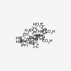 C=CC[C@H](NC(=O)[C@H](CC(C)C)NC(=O)C(NC(=O)[C@H](Cc1ccccc1C)NC(=O)[C@H](CCC(=O)O)NC(=O)[C@H](CC(=O)O)NC(=O)CCC(=O)O)C1CCCCC1)B(O)O